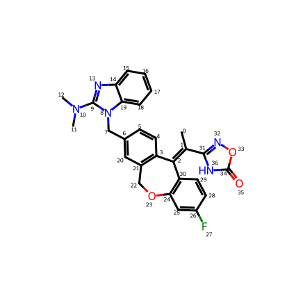 C/C(=C1\c2ccc(Cn3c(N(C)C)nc4ccccc43)cc2COc2cc(F)ccc21)c1noc(=O)[nH]1